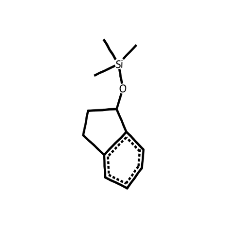 C[Si](C)(C)OC1CCc2ccccc21